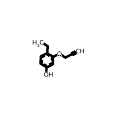 C#CCOc1cc(O)ccc1CC